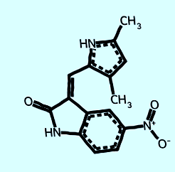 Cc1cc(C)c(C=C2C(=O)Nc3ccc([N+](=O)[O-])cc32)[nH]1